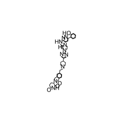 O=C1CCC(N2Cc3cc(CCN4CCC(c5cnc(N6CCN7c8cc(-c9ccccc9O)nnc8NC[C@H]7C6)nc5)CC4)ccc3C2=O)C(=O)N1